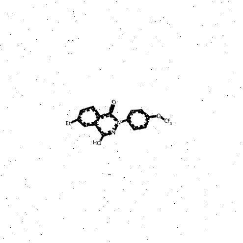 CCc1ccc2c(=O)n(-c3ccc(OC(F)(F)F)cc3)nc(O)c2c1